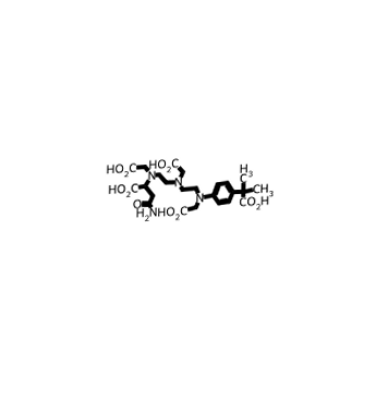 CC(C)(C(=O)O)c1ccc(N(CCN(CCN(CC(=O)O)C(CC(N)=O)C(=O)O)CC(=O)O)CC(=O)O)cc1